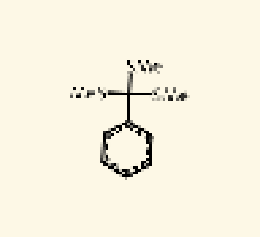 CSC(SC)(SC)c1ccccc1